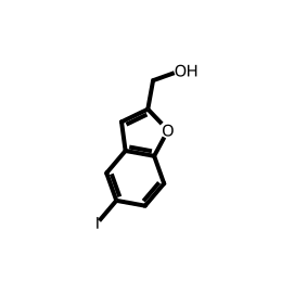 OCc1cc2cc(I)ccc2o1